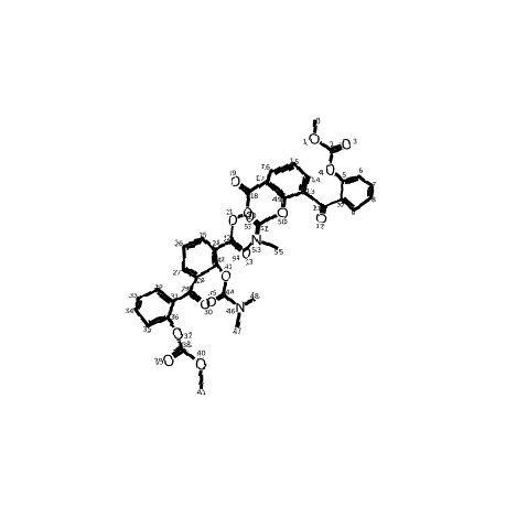 COC(=O)Oc1ccccc1C(=O)c1cccc(C(=O)OOC(=O)c2cccc(C(=O)c3ccccc3OC(=O)OC)c2OC(=O)N(C)C)c1OC(=O)N(C)C